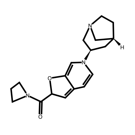 O=C(C1C=C2C=CN([C@@H]3C[C@H]4CCN(C4)C3)C=C2O1)N1CCC1